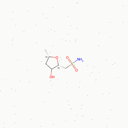 C[C@H]1CC(O)[C@@H](CS(N)(=O)=O)O1